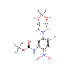 CC(C)(C)OC(=O)Nc1cc(N2CC3OC(C)(C)OC3C2)c(I)cc1[N+](=O)[O-]